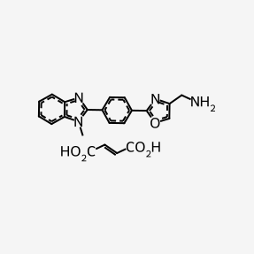 Cn1c(-c2ccc(-c3nc(CN)co3)cc2)nc2ccccc21.O=C(O)C=CC(=O)O